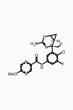 COc1cnc(C(=O)Nc2cc(F)c(Cl)c([C@]3(CF)N=C(N)OC4C[C@H]43)c2)cn1